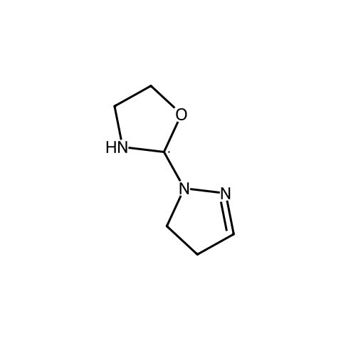 C1=NN([C]2NCCO2)CC1